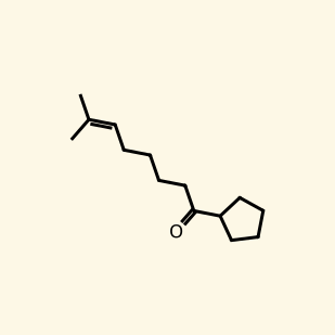 CC(C)=CCCCCC(=O)C1CCCC1